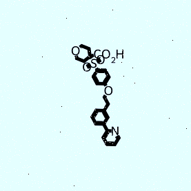 O=C(O)C1(S(=O)(=O)c2ccc(OCCc3cccc(-c4ccccn4)c3)cc2)CCOCC1